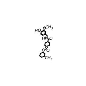 COc1cc(CNC(=O)C2CCN(C(=O)O[C@H]3CCC[C@H](C)C3)CC2)ccc1O